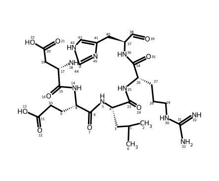 CC(C)C[C@H](NC(=O)[C@H](CCC(=O)O)NC(=O)[C@@H](N)CC(=O)O)C(=O)N[C@@H](CCCNC(=N)N)C(=O)N[C@H]([C]=O)Cc1c[nH]cn1